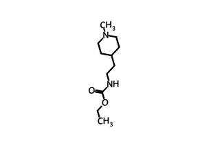 CCOC(=O)NCCC1CCN(C)CC1